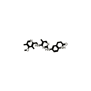 COc1c(C)cnc(CNc2nc(Nc3ccc4c(c3)CCC(=O)N4)ncc2C)c1C